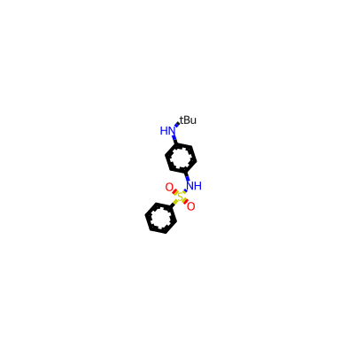 CC(C)(C)Nc1ccc(NS(=O)(=O)c2ccccc2)cc1